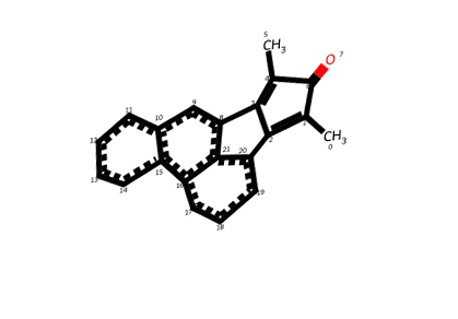 CC1=C2C(=C(C)C1=O)c1cc3ccccc3c3cccc2c13